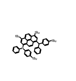 CC(C)(C)c1ccc(C(c2ccccc2)c2cc(C(C)(C)C)c3ccc4c(C(C)(C)C)cc(N(c5ccccc5)c5ccc(C(C)(C)C)cc5)c5ccc2c3c54)cc1